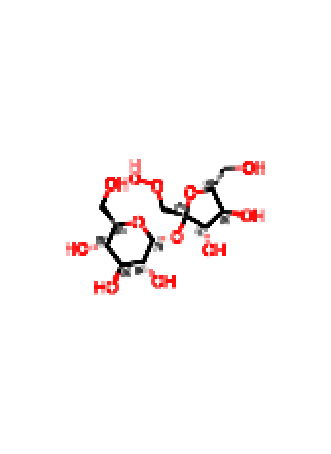 OC[C@H]1O[C@@](COO)(O[C@H]2O[C@H](CO)[C@@H](O)[C@H](O)[C@H]2O)[C@@H](O)[C@@H]1O